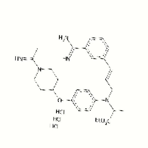 CCOC(=O)C(C)N(C/C=C/c1cccc(C(=N)N)c1)c1ccc(OC2CCN(C(C)=N)CC2)cc1.Cl.Cl.Cl